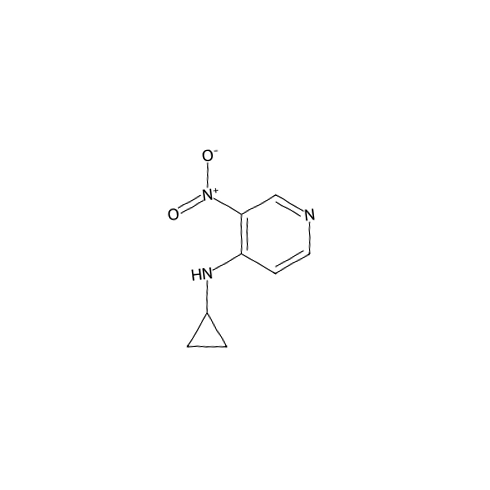 O=[N+]([O-])c1cnccc1NC1CC1